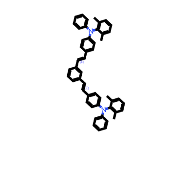 Cc1cccc(C)c1N(c1ccccc1)c1ccc(/C=C/c2cccc(/C=C/c3ccc(N(c4ccccc4)c4c(C)cccc4C)cc3)c2)cc1